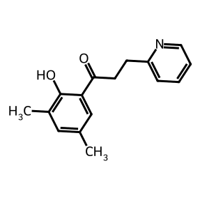 Cc1cc(C)c(O)c(C(=O)CCc2ccccn2)c1